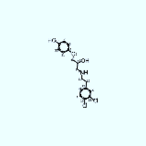 Oc1ccc(OCC(O)CNCCc2ccc(Cl)c(Cl)c2)cc1